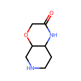 O=C1COC2CNCCC2N1